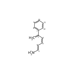 C=C(/C=C\C=C\N)c1ccccc1